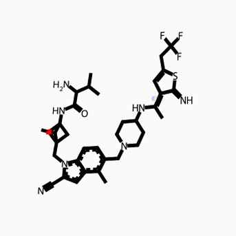 C/C(NC1CCN(Cc2ccc3c(cc(C#N)n3CC34CC(NC(=O)C(N)C(C)C)(C3C)C4C)c2C)CC1)=C1/C=C(CC(F)(F)F)SC1=N